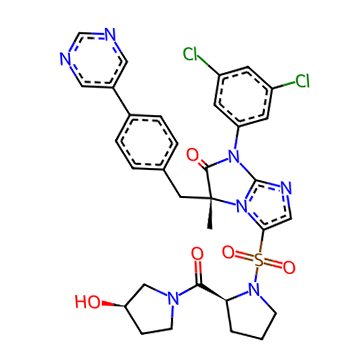 C[C@@]1(Cc2ccc(-c3cncnc3)cc2)C(=O)N(c2cc(Cl)cc(Cl)c2)c2ncc(S(=O)(=O)N3CCC[C@H]3C(=O)N3CC[C@@H](O)C3)n21